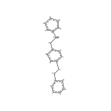 c1ccc(SCc2ccc(CNc3ncccn3)cc2)cc1